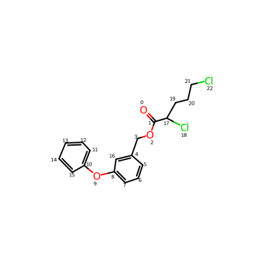 O=C(OCc1cccc(Oc2ccccc2)c1)C(Cl)CCCCl